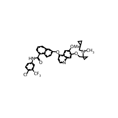 COc1cc2c(Oc3ccc4c(C(=O)Nc5ccc(Cl)c(C(F)(F)F)c5)cccc4c3)ccnc2cc1OCC1(N(C)CC2CC2)CC1